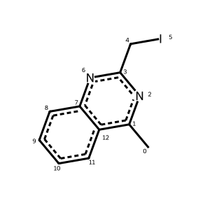 Cc1nc(CI)nc2ccccc12